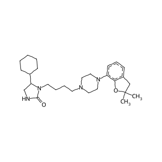 CC1(C)Cc2cccc(N3CCN(CCCCN4C(=O)NCC4C4CCCCC4)CC3)c2O1